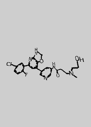 CN(CCO)CCC(=O)Nc1cncc(-c2cc(-c3cc(Cl)ccc3F)nc3c2OCCN3)c1